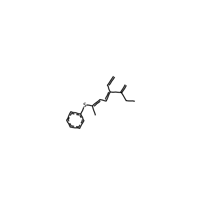 C=C/C(=C\C=C(/C)Sc1ccccc1)C(=C)CC